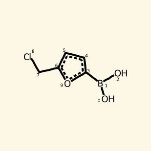 OB(O)c1ccc(CCl)o1